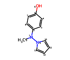 CN(c1ccc(O)cc1)n1cccc1